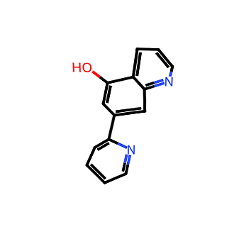 Oc1cc(-c2ccccn2)cc2ncccc12